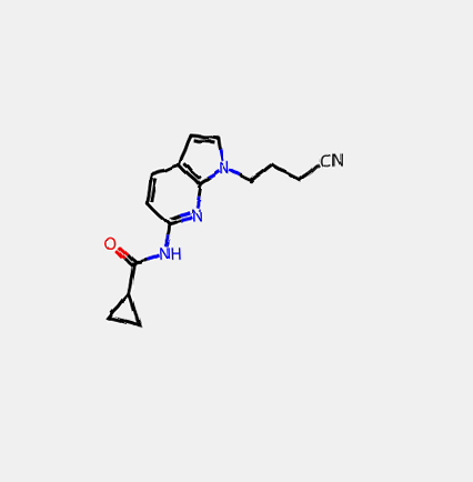 N#CCCCn1ccc2ccc(NC(=O)C3CC3)nc21